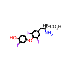 NC(BC(=O)O)Cc1cc(I)c(Oc2ccc(O)c(I)c2)c(I)c1